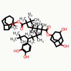 CC(C)(C)CC(c1ccc(O)c(O)c1)C(C)(C)C(C)(C)CC(C)(C(=O)OC12CC3CC4(O)CC(O)(C1)CC34C2)C(C)(C)C(C)(C)CC(C)(C(=O)OC1(C)C2CC3CC4CC1C4(C3)C2)C(C)(C)C